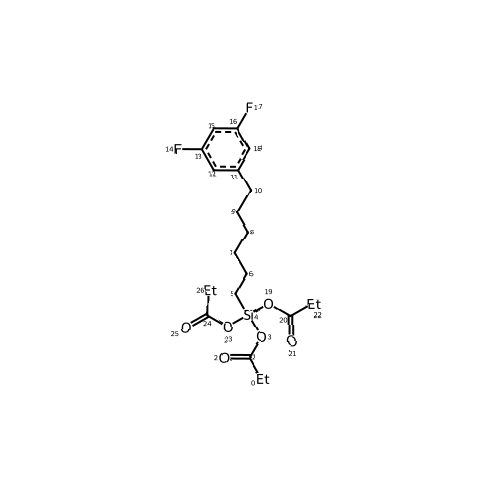 CCC(=O)O[Si](CCCCCCc1cc(F)cc(F)c1)(OC(=O)CC)OC(=O)CC